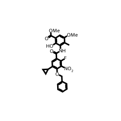 COC(=O)c1cc(OC)c(C)c(NC(=O)c2cc(C3CC3)c(OCc3ccccc3)c([N+](=O)[O-])c2F)c1O